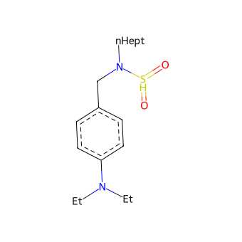 CCCCCCCN(Cc1ccc(N(CC)CC)cc1)[SH](=O)=O